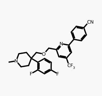 CN1CCC(COCc2cc(C(F)(F)F)cc(-c3ccc(C#N)cc3)n2)(c2ccc(F)cc2F)CC1